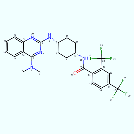 CN(C)c1nc(N[C@H]2CC[C@@H](NC(=O)c3ccc(C(F)(F)F)cc3C(F)(F)F)CC2)nc2ccccc12